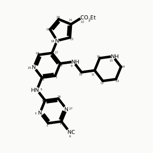 [C-]#[N+]c1cnc(Nc2cc(NCC3CCCNC3)c(-n3ccc(C(=O)OCC)c3)cn2)cn1